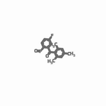 Cc1cc(C)c(C(=O)c2cc(F)ccc2P=O)c(C)c1